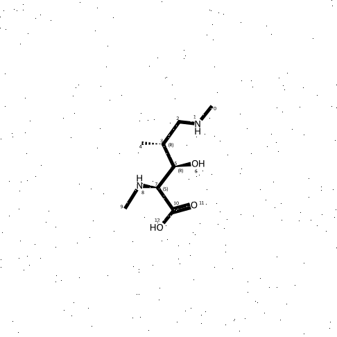 CNC[C@@H](C)[C@@H](O)[C@H](NC)C(=O)O